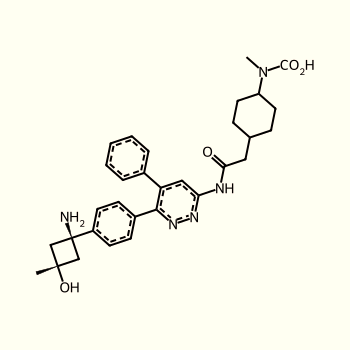 CN(C(=O)O)C1CCC(CC(=O)Nc2cc(-c3ccccc3)c(-c3ccc([C@]4(N)C[C@](C)(O)C4)cc3)nn2)CC1